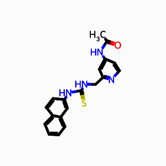 CC(=O)Nc1ccnc(CNC(=S)Nc2ccc3ccccc3c2)c1